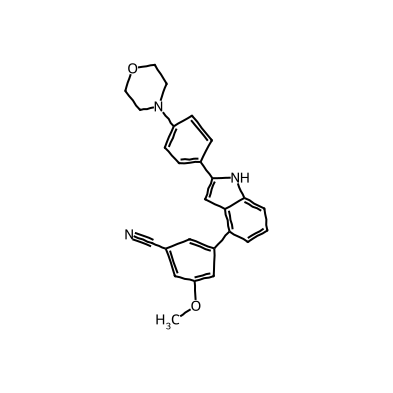 COc1cc(C#N)cc(-c2cccc3[nH]c(-c4ccc(N5CCOCC5)cc4)cc23)c1